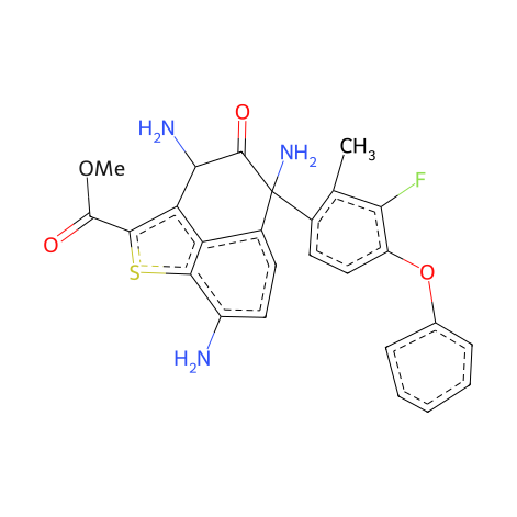 COC(=O)c1sc2c(N)ccc3c2c1C(N)C(=O)C3(N)c1ccc(Oc2ccccc2)c(F)c1C